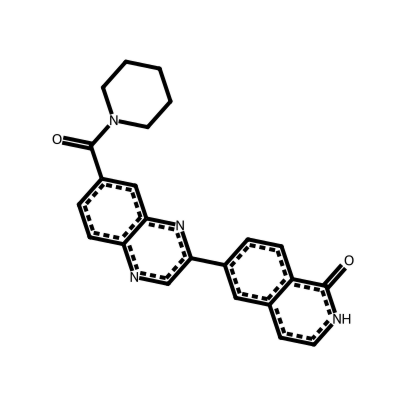 O=C(c1ccc2ncc(-c3ccc4c(=O)[nH]ccc4c3)nc2c1)N1CCCCC1